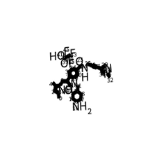 Cc1cc(C)c(/C=C2\C(=O)N(CC3CCC(N)CC3)c3cc(C(=O)NCC#Cc4cnn(C)c4)c(F)cc32)[nH]1.O=C(O)C(F)(F)F